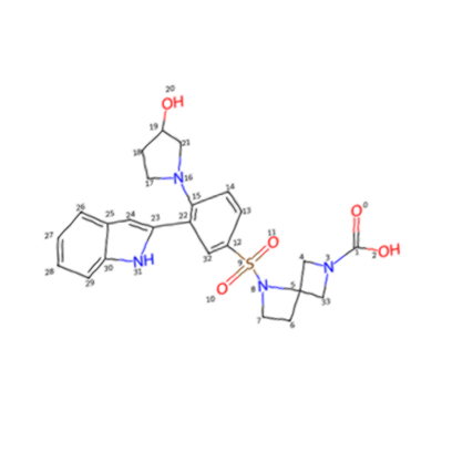 O=C(O)N1CC2(CCN2S(=O)(=O)c2ccc(N3CCC(O)C3)c(-c3cc4ccccc4[nH]3)c2)C1